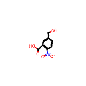 O=C(O)c1cc(CO)ccc1[N+](=O)[O-]